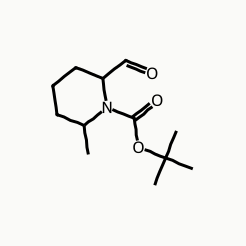 CC1CCCC(C=O)N1C(=O)OC(C)(C)C